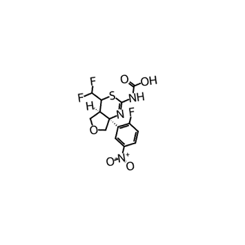 O=C(O)NC1=N[C@@]2(c3cc([N+](=O)[O-])ccc3F)COC[C@H]2C(C(F)F)S1